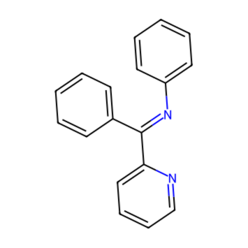 c1ccc(/N=C(\c2ccccc2)c2ccccn2)cc1